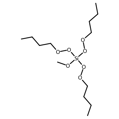 CCCCOO[Si](OC)(OOCCCC)OOCCCC